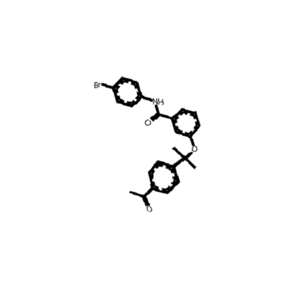 CC(=O)c1ccc(C(C)(C)Oc2cccc(C(=O)Nc3ccc(Br)cc3)c2)cc1